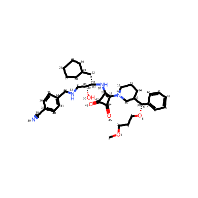 COCCCO[C@@H](c1ccccc1)C1CCCN(c2c(N[C@@H](CC3CCCCC3)[C@H](O)CNCc3ccc(C#N)cc3)c(=O)c2=O)C1